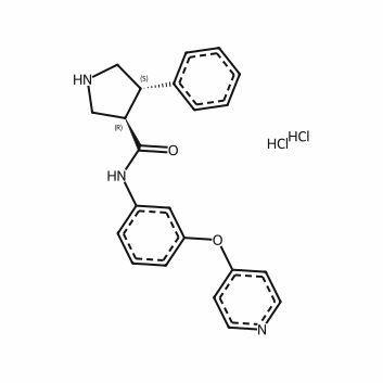 Cl.Cl.O=C(Nc1cccc(Oc2ccncc2)c1)[C@H]1CNC[C@@H]1c1ccccc1